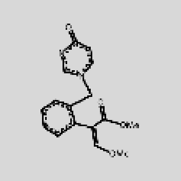 COC=C(C(=O)OC)c1ccccc1Cn1ccc(=O)nc1